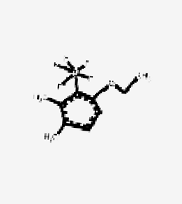 CCOc1ccc(C)c(C)c1S(F)(F)(F)(F)F